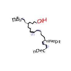 CCCC/C=C\CC(CC/C=C\C=C/CCC(/C=C\C=C/CCCCCCCCCC)CCCCCCC)CCCCO